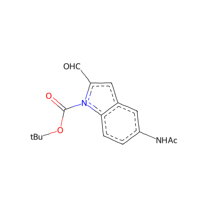 CC(=O)Nc1ccc2c(c1)cc(C=O)n2C(=O)OC(C)(C)C